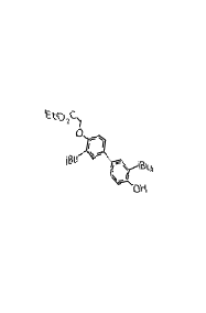 CCOC(=O)COc1ccc(-c2ccc(O)c(C(C)CC)c2)cc1C(C)CC